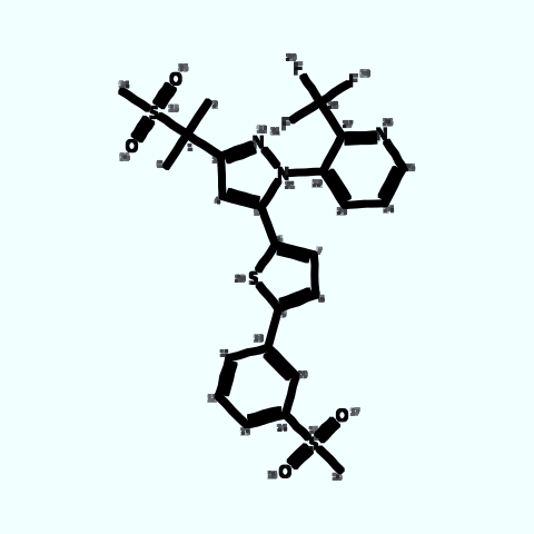 CC(C)(c1cc(-c2ccc(-c3cccc(S(C)(=O)=O)c3)s2)n(-c2cccnc2C(F)(F)F)n1)S(C)(=O)=O